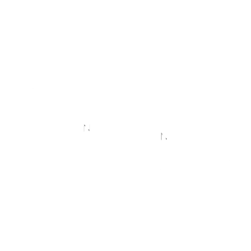 CN(c1ccc(N(c2cccc3ccccc23)c2cccc3ccccc23)cc1)c1c2ccccc2cc2ccccc12